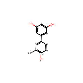 CC(C)c1cc(-c2cc(O)cc(O)c2)ccc1O